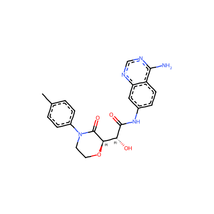 Cc1ccc(N2CCO[C@H]([C@@H](O)C(=O)Nc3ccc4c(N)ncnc4c3)C2=O)cc1